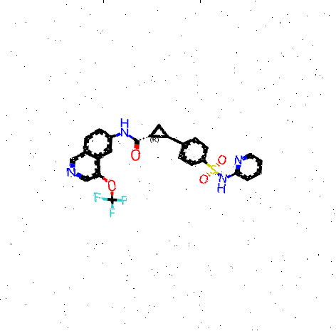 O=C(Nc1ccc2cncc(OC(F)(F)F)c2c1)[C@@H]1CC1c1ccc(S(=O)(=O)Nc2ccccn2)cc1